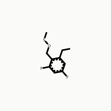 CCc1cc(F)cc(F)c1COSC